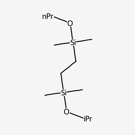 CCCO[Si](C)(C)CC[Si](C)(C)OC(C)C